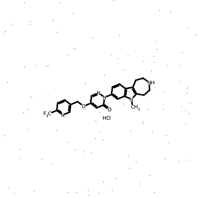 Cl.Cn1c2c(c3ccc(-n4ncc(OCc5ccc(C(F)(F)F)nc5)cc4=O)cc31)CCNCC2